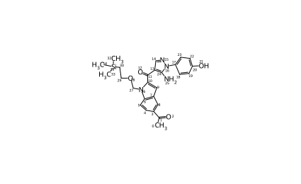 CC(=O)c1ccc2c(c1)cc(C(=O)c1cnn(-c3ccc(O)cc3)c1N)n2COCC[Si](C)(C)C